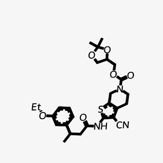 CCOc1cccc(C(C)CC(=O)Nc2sc3c(c2C#N)CCN(C(=O)OCC2COC(C)(C)O2)C3)c1